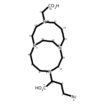 CC(=O)CCC(C(=O)O)N1CCCN2CCN(CCCN(CC(=O)O)CC2)CC1